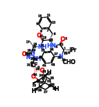 CC(C)[C@@H](C(=O)N[C@@H](Cc1ccccc1)C(=O)N[C@@H](C)C(=O)NCB1O[C@@H]2C[C@@H]3C[C@@H](C3(C)C)[C@]2(C)O1)N(C=O)c1ccc(C2(C(F)(F)F)N=N2)cc1